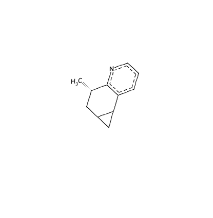 C[C@H]1CC2CC2c2cccnc21